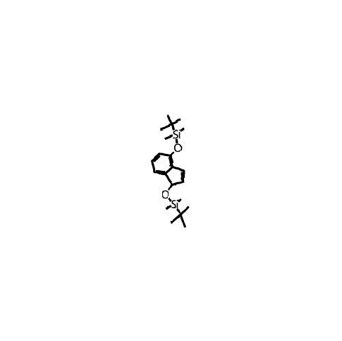 CC(C)(C)[Si](C)(C)O[C]1C=Cc2c(O[Si](C)(C)C(C)(C)C)cccc21